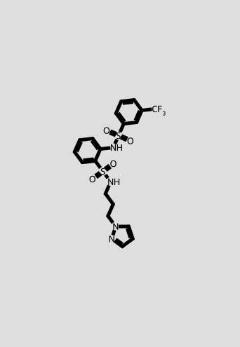 O=S(=O)(Nc1ccccc1S(=O)(=O)NCCCn1cccn1)c1cccc(C(F)(F)F)c1